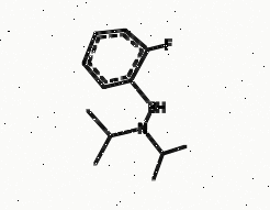 CC(C)N(Bc1ccccc1F)C(C)C